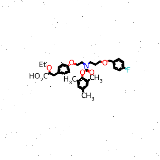 CCOC(Cc1ccc(OCCN(CCCOCc2ccc(F)cc2)C(=O)Oc2c(C)cc(C)cc2C)cc1)C(=O)O